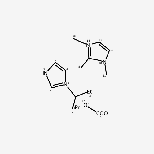 CCCC(CC)[n+]1cc[nH]c1.Cc1n(C)cc[n+]1C.O=C([O-])[O-]